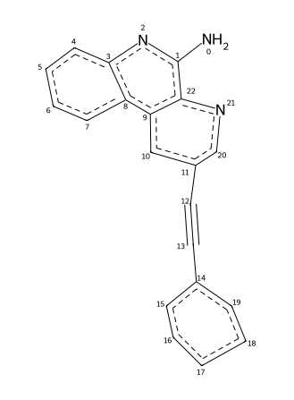 Nc1nc2ccccc2c2cc(C#Cc3ccccc3)cnc12